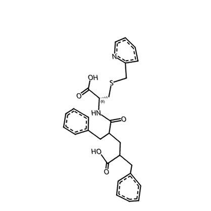 O=C(O)C(Cc1ccccc1)CC(Cc1ccccc1)C(=O)N[C@@H](CSCc1ccccn1)C(=O)O